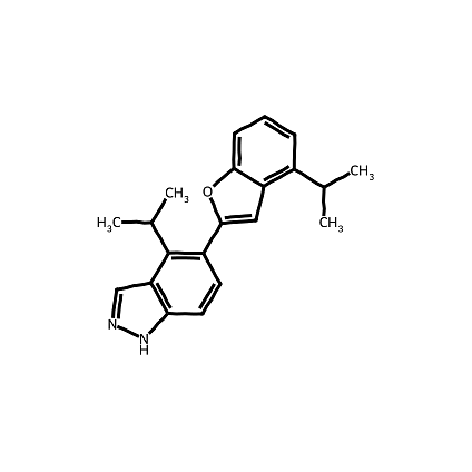 CC(C)c1c(-c2cc3c(C(C)C)cccc3o2)ccc2[nH]ncc12